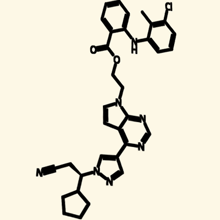 Cc1c(Cl)cccc1Nc1ccccc1C(=O)OCCn1ccc2c(-c3cnn([C@H](CC#N)C4CCCC4)c3)ncnc21